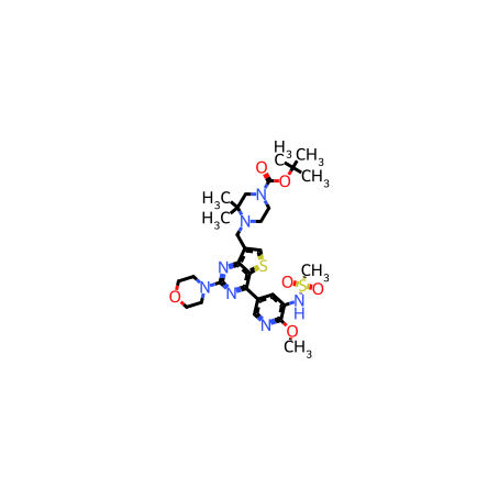 COc1ncc(-c2nc(N3CCOCC3)nc3c(CN4CCN(C(=O)OC(C)(C)C)CC4(C)C)csc23)cc1NS(C)(=O)=O